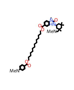 CNCC1(C)CC(NC(=O)N(C)c2ccc(C(=O)OCCCCCCCCCCCCCCOC(=O)c3ccc(NC)cc3)cc2)CC(C)(C)C1